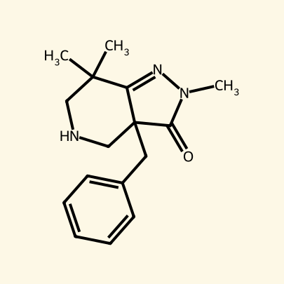 CN1N=C2C(C)(C)CNCC2(Cc2ccccc2)C1=O